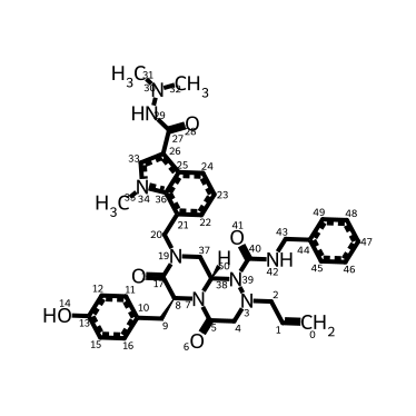 C=CCN1CC(=O)N2[C@@H](Cc3ccc(O)cc3)C(=O)N(Cc3cccc4c(C(=O)NN(C)C)cn(C)c34)C[C@@H]2N1C(=O)NCc1ccccc1